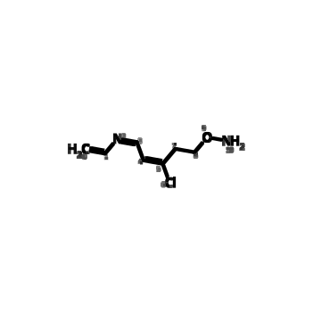 C=C/N=C\C=C(\Cl)CCON